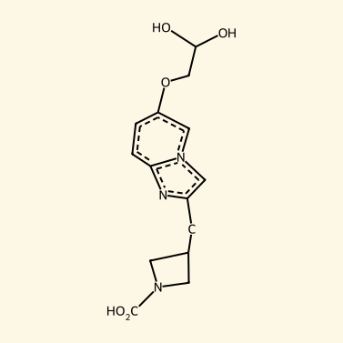 O=C(O)N1CC(Cc2cn3cc(OCC(O)O)ccc3n2)C1